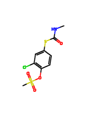 CNC(=O)Sc1ccc(OS(C)(=O)=O)c(Cl)c1